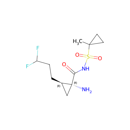 CC1(S(=O)(=O)NC(=O)[C@@]2(N)C[C@H]2CCC(F)F)CC1